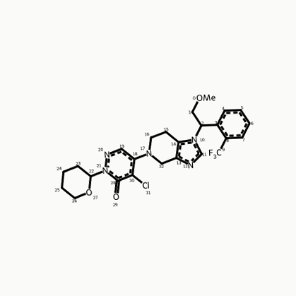 COCC(c1ccccc1C(F)(F)F)n1cnc2c1CCN(c1cnn(C3CCCCO3)c(=O)c1Cl)C2